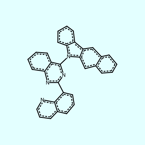 c1ccc2cc3c(cc2c1)c1ccccc1n3-c1nc(-c2cccc3cccnc23)nc2ccccc12